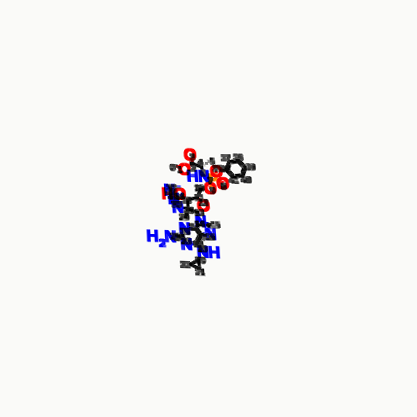 COC(=O)[C@H](C)NP(=O)(OC[C@H]1O[C@@H](n2cnc3c(NC4CC4)nc(N)nc32)[C@](C)(N=[N+]=[N-])[C@@H]1O)Oc1ccccc1